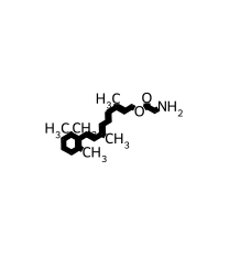 CC(C=CC1=C(C)CCCC1(C)C)=CC=CC(C)=CCOC(=O)CN